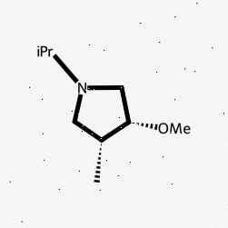 CO[C@H]1CN(C(C)C)C[C@H]1C